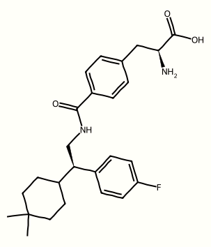 CC1(C)CCC([C@@H](CNC(=O)c2ccc(C[C@H](N)C(=O)O)cc2)c2ccc(F)cc2)CC1